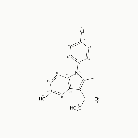 CCC(C(=O)O)c1c(C)n(-c2ccc(Cl)cc2)c2ccc(O)cc12